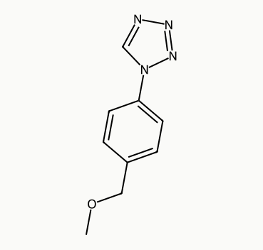 COCc1ccc(-n2cnnn2)cc1